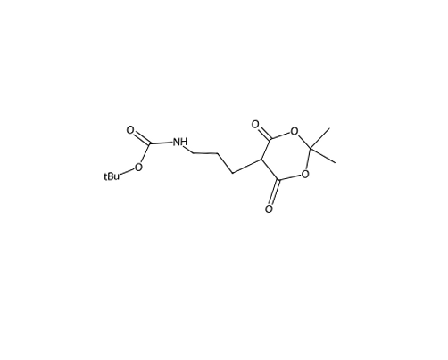 CC(C)(C)OC(=O)NCCCC1C(=O)OC(C)(C)OC1=O